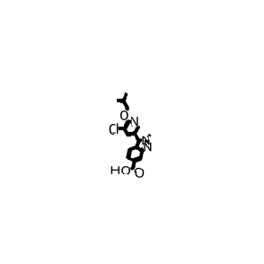 CC(C)COc1ncc(-c2c3ccc(C(=O)O)cc3nn2C)cc1Cl